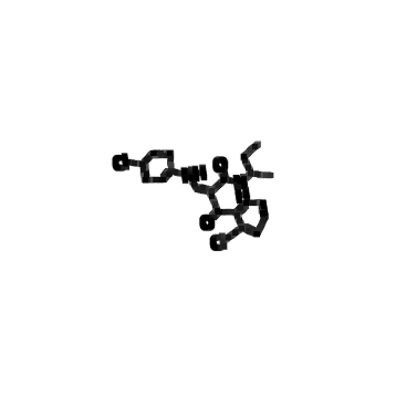 CCC(C)NC(=O)C(=CNc1ccc(Cl)cc1)C(=O)c1ccccc1Cl